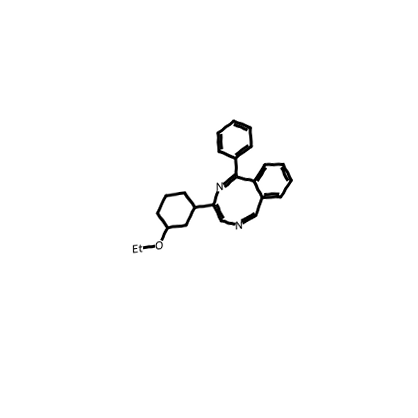 CCOC1CCCC(C2=CN=Cc3ccccc3C(c3ccccc3)=N2)C1